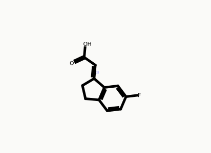 O=C(O)/C=C1\CCc2ccc(F)cc21